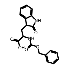 O=C(NC(CC1C(=O)Nc2ccccc21)C(=O)O)OCc1ccccc1